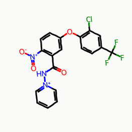 O=C(N[n+]1ccccc1)c1cc(Oc2ccc(C(F)(F)F)cc2Cl)ccc1[N+](=O)[O-]